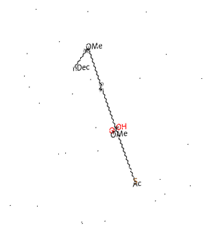 CCCCCCCCCCCCCCCCCC[C@H](C)[C@H](CCCCCCCCCCCCCCCC[C@H](C)C1C[C@H]1CCCCCCCCCCCCCCCCCC[C@@H](O)C(CCCCCCCCCCCCCCCCCCCCCCCCSC(C)=O)C(=O)OC)OC